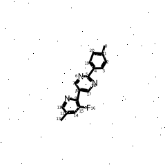 Cc1ccc(-c2ncc(-c3ncc(C)cc3F)cn2)cc1